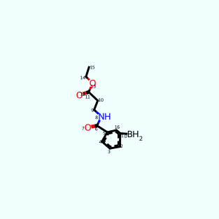 Bc1cccc(C(=O)NCCC(=O)OCC)c1